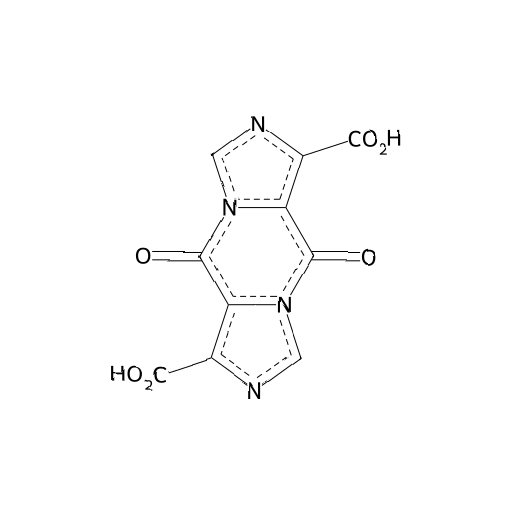 O=C(O)c1ncn2c(=O)c3c(C(=O)O)ncn3c(=O)c12